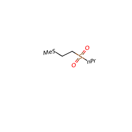 CCCS(=O)(=O)CCSC